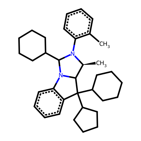 Cc1ccccc1N1C(C2CCCCC2)N2c3ccccc3C(C3CCCCC3)(C3CCCC3)C2[C@@H]1C